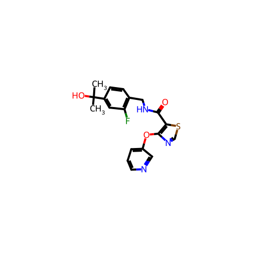 CC(C)(O)c1ccc(CNC(=O)c2scnc2Oc2cccnc2)c(F)c1